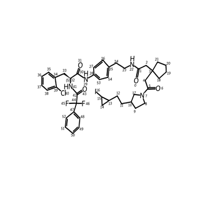 O=C(CC1(CC(=O)N2CCC(CCC3CC3I)C2)CCCC1)NCCc1ccc(NC(=O)[C@H](Cc2ccccc2Cl)NC(=O)C(F)(F)c2ccccc2)cc1